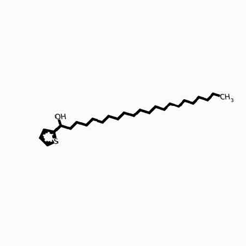 CCCCCCCCCCCCCCCCCCCCCC(O)c1cccs1